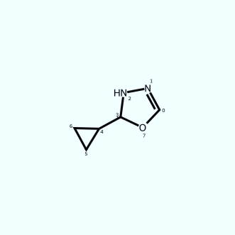 C1=NN[C](C2CC2)O1